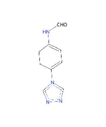 O=CNC1=CC=C(n2cnnc2)CC1